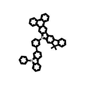 CC1(C)c2ccccc2-c2cc3c4cc5c6ccccc6c6ccccc6c5cc4n(-c4cccc(-c5ccc6c7ccccc7n(-c7ccccc7)c6c5)c4)c3cc21